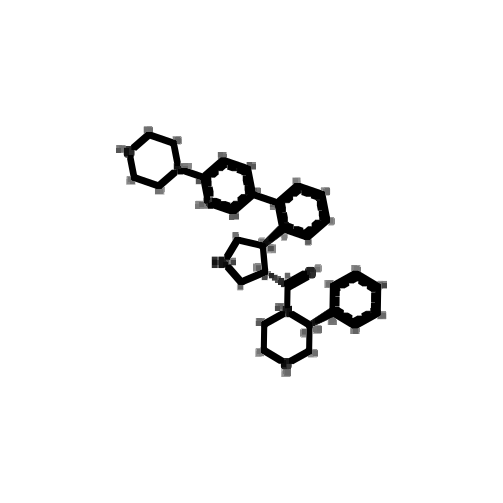 O=C([C@@H]1CNC[C@H]1c1ccccc1-c1ccc(N2CCOCC2)nc1)N1CCOC[C@@H]1c1ccccc1